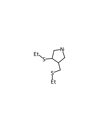 CCSCC1C[N]CC1SCC